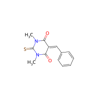 CN1C(=O)C(=Cc2ccccc2)C(=O)N(C)C1=S